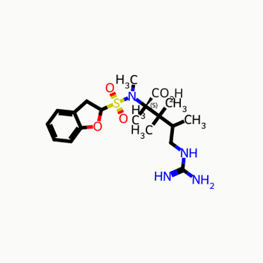 CC(CNC(=N)N)C(C)(C)[C@@](C)(C(=O)O)N(C)S(=O)(=O)C1Cc2ccccc2O1